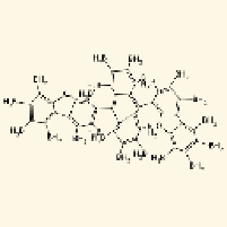 Bc1c(B)c(B)c2c(oc3c(B)c(-c4c5c(B)c(B)c(B)c(B)c5c(-c5c(B)c(B)c(B)c6c5oc5c(B)c(B)c(B)c(B)c56)c5c(B)c(B)c(B)c(B)c45)c(B)c(B)c32)c1B